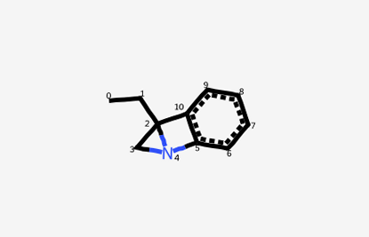 CCC12CN1c1ccccc12